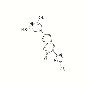 Cc1csc(-c2cc3ccc(N4C[C@@H](C)N[C@@H](C)C4)cc3oc2=O)n1